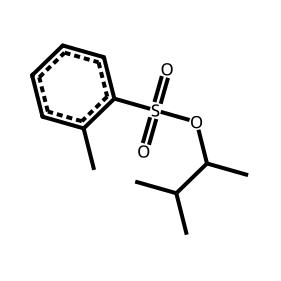 Cc1ccccc1S(=O)(=O)OC(C)C(C)C